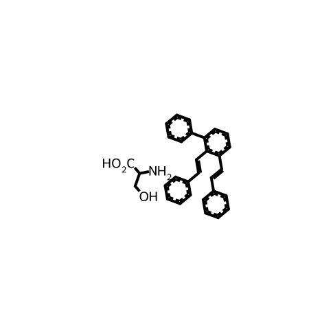 C(=Cc1cccc(-c2ccccc2)c1C=Cc1ccccc1)c1ccccc1.NC(CO)C(=O)O